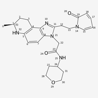 C[C@H]1CCc2c(ccc3c2nc(CCn2ccccc2=O)n3CC(=O)NC2CCOCC2)N1